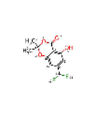 CC1(C)OC(=O)c2c(O)cc(C(F)F)cc2O1